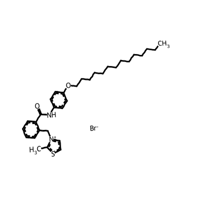 CCCCCCCCCCCCCCOc1ccc(NC(=O)c2ccccc2C[n+]2ccsc2C)cc1.[Br-]